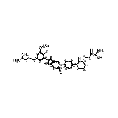 CC(N)CCCc1cc(OC(C)(C)C)c(F)c(-c2cc3cn(-c4ccc([C@@H]5CCC[C@@H](CCNC(=N)N)N5)cc4)c(=O)nc3[nH]2)c1